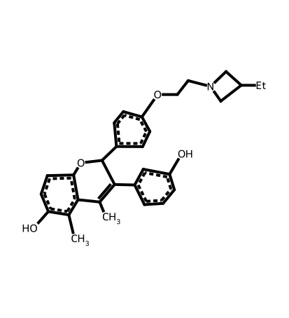 CCC1CN(CCOc2ccc(C3Oc4ccc(O)c(C)c4C(C)=C3c3cccc(O)c3)cc2)C1